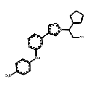 N#CCC(C1CCCC1)n1cc(-c2ccnc(Nc3ccc([N+](=O)[O-])cc3)n2)cn1